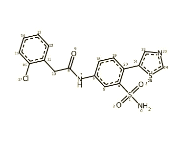 NS(=O)(=O)c1cc(NC(=O)Cc2ccccc2Cl)ccc1-c1cncs1